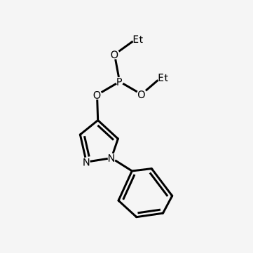 CCOP(OCC)Oc1cnn(-c2ccccc2)c1